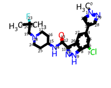 Cn1cc(-c2cc(Cl)c3[nH]nc(C(=O)NC4CCN(CC(C)(C)F)CC4)c3c2)cn1